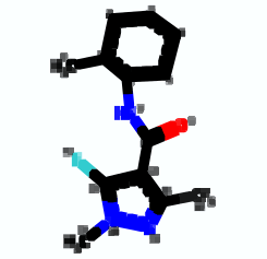 Cc1ccccc1NC(=O)c1c(C(F)(F)F)nn(C)c1F